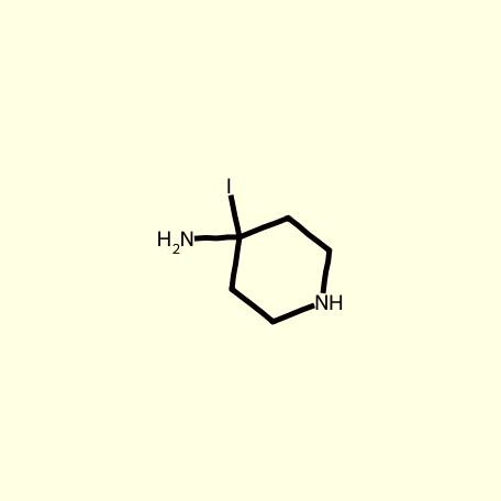 NC1(I)CCNCC1